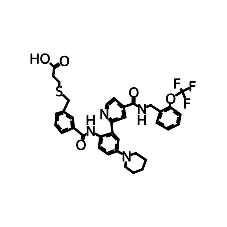 O=C(O)CCSCc1cccc(C(=O)Nc2ccc(N3CCCCC3)cc2-c2cc(C(=O)NCc3ccccc3OC(F)(F)F)ccn2)c1